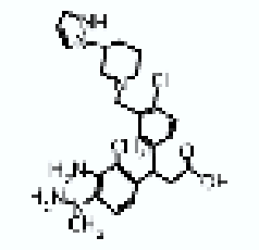 Cc1c(C(CC(=O)O)c2ccc(Cl)c(CN3CCCC(N4C=CCN4)C3)c2)ccc(N(C)N)c1N